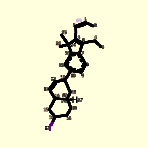 C/C=C\C1=C(CC)c2ccc(C3C=CC4CC(I)CC[C@H]4C3)cc2C1(C)C